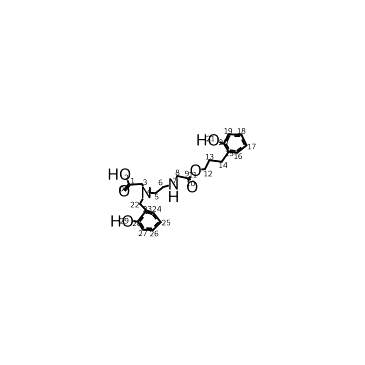 O=C(O)CN(CCNCC(=O)OCCCc1ccccc1O)Cc1ccccc1O